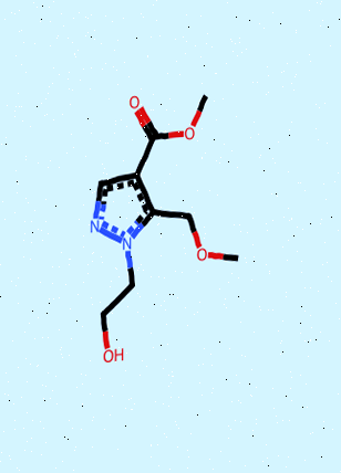 COCc1c(C(=O)OC)cnn1CCO